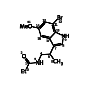 CCC(=O)NCC(C)c1c[nH]c2c(Br)cc(OC)cc12